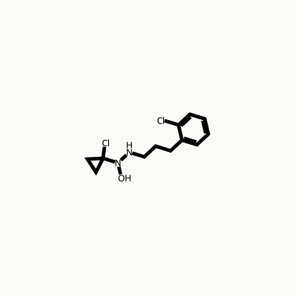 ON(NCCCc1ccccc1Cl)C1(Cl)CC1